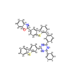 c1ccc(-c2nc(-c3cccc(-c4cccc5c4sc4ccc(-c6nc7ccccc7o6)cc45)c3)nc(-c3ccc4c(c3)sc3ccccc34)n2)cc1